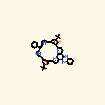 CC(C)(C)c1cc2c3nc(c(-c4ccccc4)c4ccc([nH]4)c4cc(C(C)(C)C)cc(c4O)c4ccc5c6nc7ccccc7nc6c6ccc(nc6c5n4)c(c1)c2O)C=C3